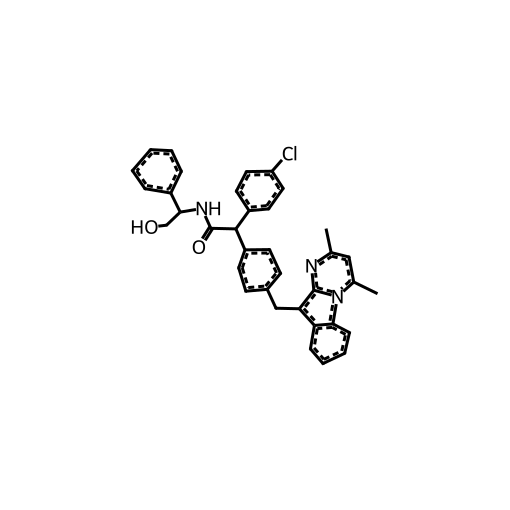 Cc1cc(C)n2c(n1)c(Cc1ccc(C(C(=O)NC(CO)c3ccccc3)c3ccc(Cl)cc3)cc1)c1ccccc12